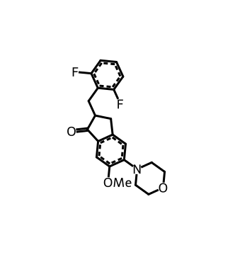 COc1cc2c(cc1N1CCOCC1)CC(Cc1c(F)cccc1F)C2=O